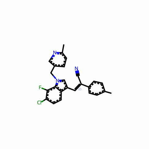 Cc1ccc(/C(C#N)=C/c2cn(Cc3ccc(C)nc3)c3c(F)c(Cl)ccc23)cc1